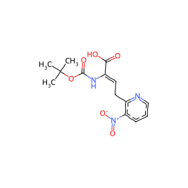 CC(C)(C)OC(=O)NC(=CCc1ncccc1[N+](=O)[O-])C(=O)O